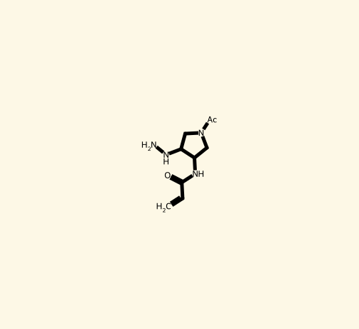 C=CC(=O)NC1CN(C(C)=O)CC1NN